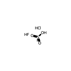 Cl.F.O=[SH](=O)O